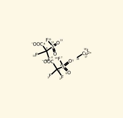 O=C([O-])C(F)(F)S(=O)(=O)F.O=C([O-])C(F)(F)S(=O)(=O)F.[CH3][Cu+2].[I]